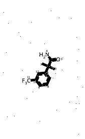 CC(C)(C(N)=O)c1cccc(C(F)(F)F)c1